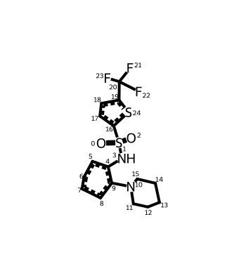 O=S(=O)(Nc1ccccc1N1CCCCC1)c1ccc(C(F)(F)F)s1